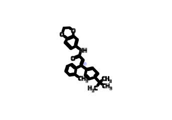 Cc1ccccc1/C(=C\C(=O)Nc1ccc2c(c1)OCCO2)c1ccc(C(C)(C)C)cc1